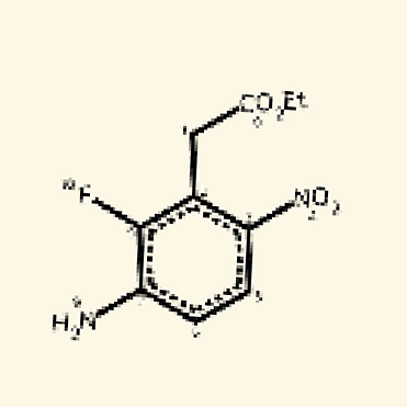 CCOC(=O)Cc1c([N+](=O)[O-])ccc(N)c1F